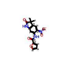 CC1(C)C(=O)Nc2cc(NC(=O)c3ccco3)c([N+](=O)[O-])cc21